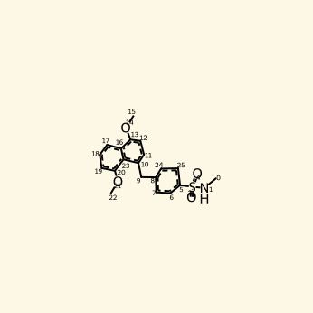 CNS(=O)(=O)c1ccc(Cc2ccc(OC)c3cccc(OC)c23)cc1